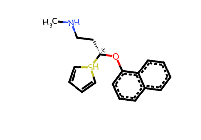 CNCC[C@H](Oc1cccc2ccccc12)[SH]1C=CC=C1